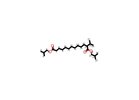 CC(C)COC(=O)CCCCCCCCCCC(C(=O)OCC(C)C)C(C)C